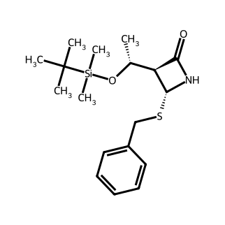 C[C@@H](O[Si](C)(C)C(C)(C)C)[C@H]1C(=O)N[C@@H]1SCc1ccccc1